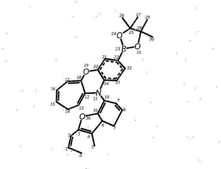 C/C=C\C1=C(C)C2CC=CC(N3C4=CCC=CC=C4Oc4cc(B5OC(C)(C)C(C)(C)O5)ccc43)=C2O1